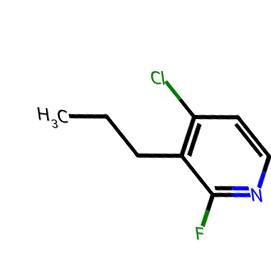 CCCc1c(Cl)ccnc1F